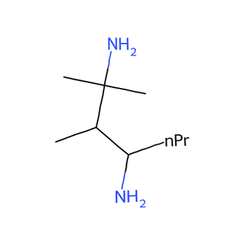 CCCC(N)C(C)C(C)(C)N